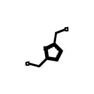 ClCc1ccc(CCl)s1